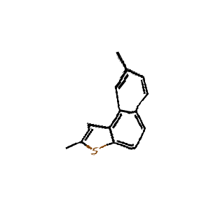 Cc1ccc2ccc3sc(C)cc3c2c1